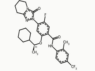 Cc1cc(C(F)(F)F)ccc1NC(=O)c1cc(F)c(-n2nc3n(c2=O)CCCC3)cc1O[C@@H](C)C1CCCCC1